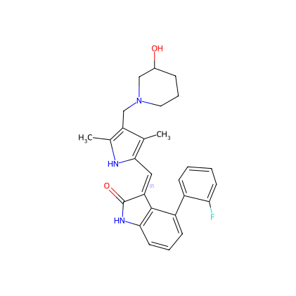 Cc1[nH]c(/C=C2\C(=O)Nc3cccc(-c4ccccc4F)c32)c(C)c1CN1CCCC(O)C1